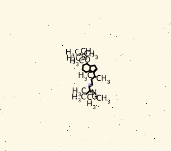 CON=C(/C=C/CC(C)C1=CCC2C(O[Si](C)(C)C(C)(C)C)CCCC12C)C(C)(C)C